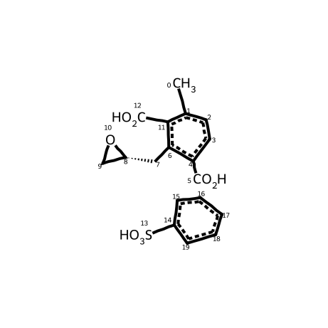 Cc1ccc(C(=O)O)c(C[C@@H]2CO2)c1C(=O)O.O=S(=O)(O)c1ccccc1